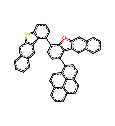 c1ccc2cc3c(cc2c1)oc1c(-c2cccc4sc5cc6ccccc6cc5c24)ccc(-c2ccc4ccc5cccc6ccc2c4c56)c13